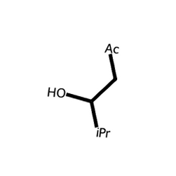 CC(=O)CC(O)C(C)C